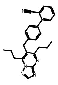 CCCc1nc2ncnn2c(CCC)c1Cc1ccc(-c2ccccc2C#N)cc1